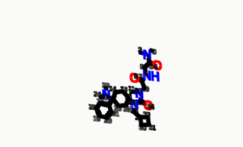 CN(C)C(=O)CNC(=O)CN1C[C@]2(CC[C@@](c3ccccc3)(N(C)C)CC2)N(CC2CCC2)C1=O